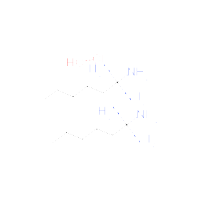 CCCCCC(N)(N)N.CCCCCC(N)(N)N.OO